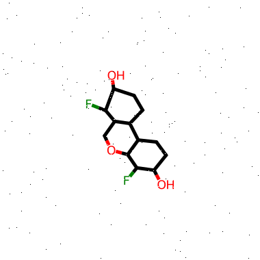 OC1CCC2C(COC3C(F)C(O)CCC23)C1F